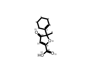 CC1(C2=CCCCC2)OC(C(=O)O)=CC1=O